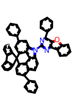 c1ccc(-c2cc3c4c5c6c(ccc(-c7ccccc7)c6ccc5n(-c5nc(-c6ccccc6)c6oc7ccccc7c6n5)c4c2)C32c3ccccc3-c3ccccc32)cc1